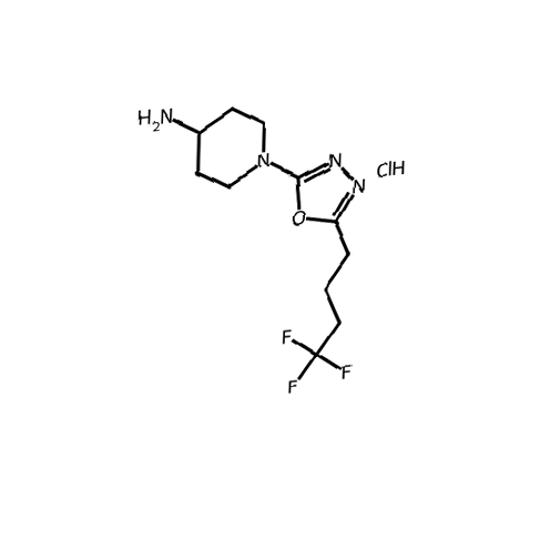 Cl.NC1CCN(c2nnc(CCCC(F)(F)F)o2)CC1